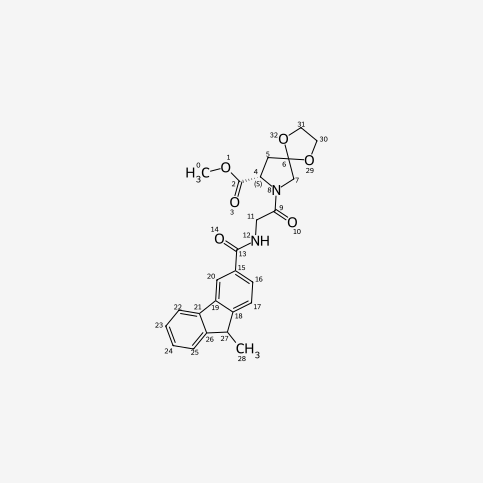 COC(=O)[C@@H]1CC2(CN1C(=O)CNC(=O)c1ccc3c(c1)-c1ccccc1C3C)OCCO2